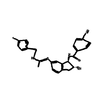 C/C(=N\c1ccc2c(c1)[C@@H](NC(=O)c1ccc(Br)cc1)[C@H](O)C2)NCc1ccc(F)cc1